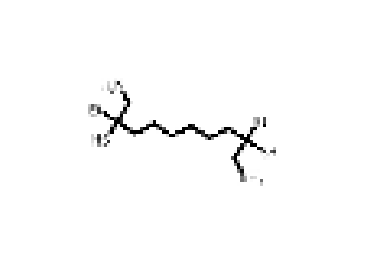 CCC(S)(CN)CCCCCCC(S)(CC)CN